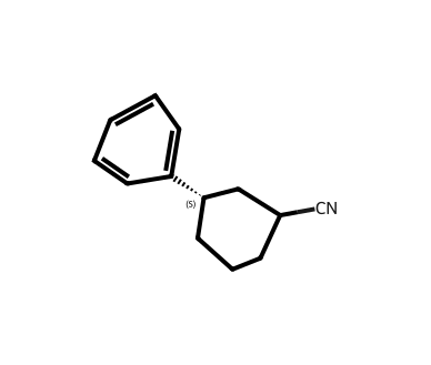 N#CC1CCC[C@H](c2ccccc2)C1